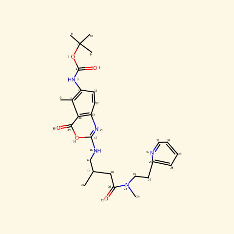 Cc1c(NC(=O)OC(C)(C)C)ccc2nc(NCC(C)CC(=O)N(C)CCc3ccccn3)oc(=O)c12